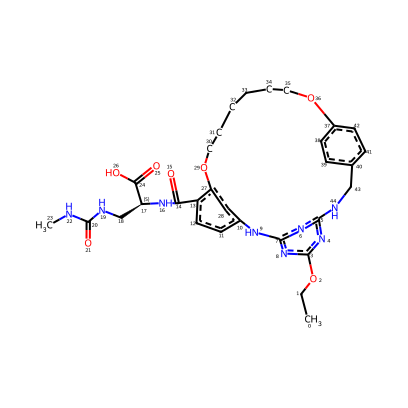 CCOc1nc2nc(n1)Nc1ccc(C(=O)N[C@@H](CNC(=O)NC)C(=O)O)c(c1)OCCCCCCOc1ccc(cc1)CN2